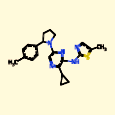 Cc1ccc(C2CCCN2c2cnc(C3CC3)c(Nc3ncc(C)s3)n2)cc1